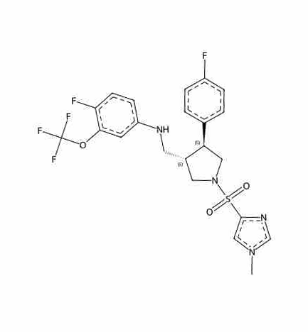 Cn1cnc(S(=O)(=O)N2C[C@H](CNc3ccc(F)c(OC(F)(F)F)c3)[C@@H](c3ccc(F)cc3)C2)c1